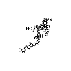 CC/C=C\C/C=C\C/C=C\C/C=C\C/C=C\C/C=C\CCC(=O)NCCCCC(NC(=O)Cc1c(C)n(C(=O)c2ccc(Cl)cc2)c2ccc(OC)cc12)C(=O)O